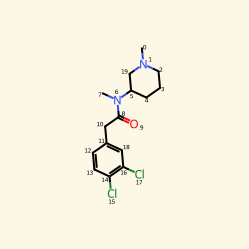 CN1CCCC(N(C)C(=O)Cc2ccc(Cl)c(Cl)c2)C1